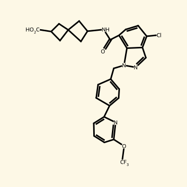 O=C(NC1CC2(C1)CC(C(=O)O)C2)c1ccc(Cl)c2cnn(Cc3ccc(-c4cccc(OC(F)(F)F)n4)cc3)c12